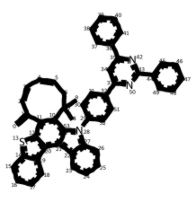 C=C1/C=C\C=C/CC(C)(C)c2c1c1sc3ccccc3c1c1c3ccccc3n(-c3ccc(-c4cc(-c5ccccc5)nc(-c5ccccc5)n4)cc3)c21